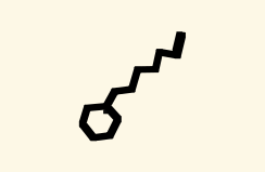 C=CCCCCC[C]1CCCCC1